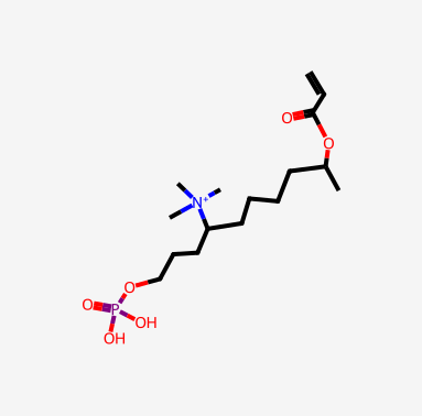 C=CC(=O)OC(C)CCCCC(CCCOP(=O)(O)O)[N+](C)(C)C